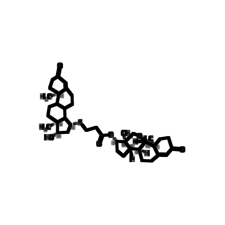 C[C@]12CO[C@H]3[C@@H](CCC4=CC(=O)CC[C@@]43C)[C@@H]1CC[C@@H]2OC(=O)CCS[C@@H]1C[C@H](O)[C@@]2(C)CCC3C(CCC4=CC(=O)CC[C@@]43C)C12